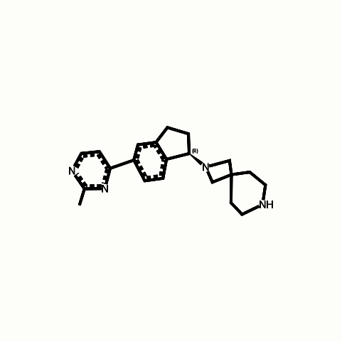 Cc1nccc(-c2ccc3c(c2)CC[C@H]3N2CC3(CCNCC3)C2)n1